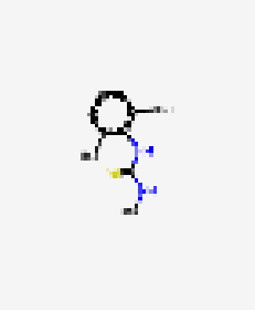 CCC(C)NC(=S)Nc1c(C(C)CC)cccc1C(C)CC